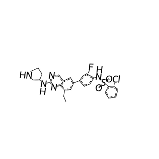 CCc1cc(-c2ccc(NS(=O)(=O)c3ccccc3Cl)c(F)c2)cc2cnc(NC3CCCNC3)nc12